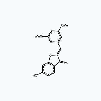 COc1cc(/C=C2\Oc3cc(O)ccc3C2=O)cc(OC)c1